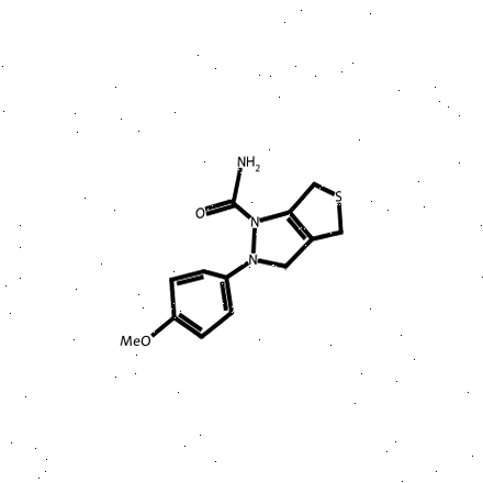 COc1ccc(N2[CH]C3=C(CSC3)N2C(N)=O)cc1